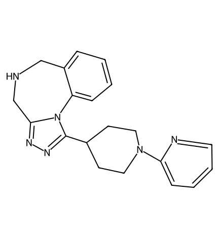 c1ccc(N2CCC(c3nnc4n3-c3ccccc3CNC4)CC2)nc1